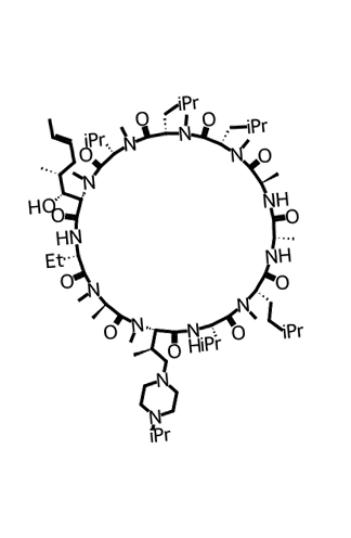 C/C=C/C[C@@H](C)[C@@H](O)[C@H]1C(=O)N[C@@H](CC)C(=O)N(C)[C@H](C)C(=O)N(C)[C@@H]([C@H](C)CN2CCN(C(C)C)CC2)C(=O)N[C@@H](C(C)C)C(=O)N(C)[C@@H](CCC(C)C)C(=O)N[C@@H](C)C(=O)N[C@H](C)C(=O)N(C)[C@@H](CC(C)C)C(=O)N(C)[C@@H](CC(C)C)C(=O)N(C)[C@@H](C(C)C)C(=O)N1C